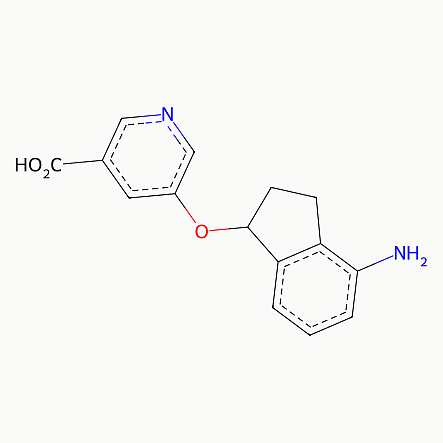 Nc1cccc2c1CCC2Oc1cncc(C(=O)O)c1